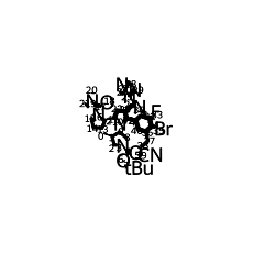 C[C@@H]1CN(C(=O)OC(C)(C)C)C[C@H]1n1c([C@H]2CCCN2C(=O)N(C)C)cc2c(-n3cncn3)nc3c(F)c(Br)c(CCC#N)cc3c21